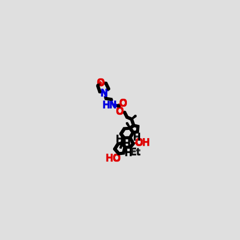 CC[C@H]1[C@@H](O)[C@@H]2[C@H](CC[C@]3(C)C([C@H](C)CCOC(=O)NCCN4CCOCC4)CC[C@@H]23)[C@@]2(C)CC[C@@H](O)C[C@@H]12